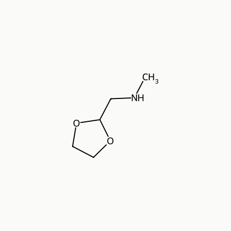 CNCC1OCCO1